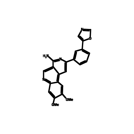 COc1cc2ncc3c(N)nc(-c4cccc(-c5cnco5)c4)cc3c2cc1OC